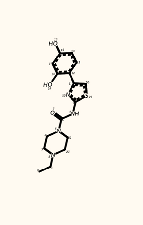 CCN1CCN(C(=O)Nc2nc(-c3ccc(O)cc3O)cs2)CC1